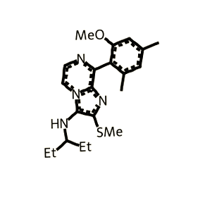 CCC(CC)Nc1c(SC)nc2c(-c3c(C)cc(C)cc3OC)nccn12